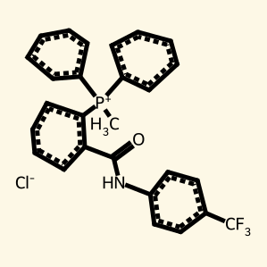 C[P+](c1ccccc1)(c1ccccc1)c1ccccc1C(=O)Nc1ccc(C(F)(F)F)cc1.[Cl-]